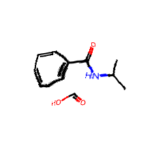 CC(C)NC(=O)c1ccccc1.O=CO